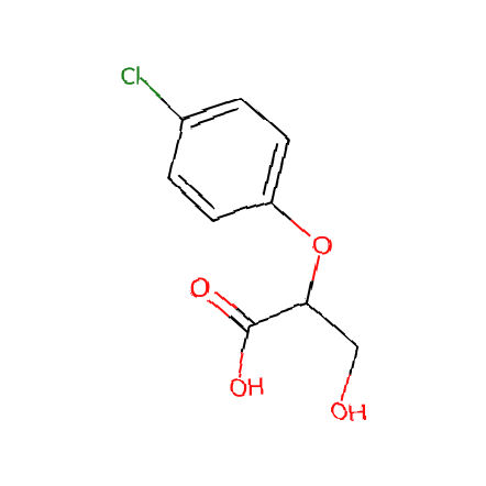 O=C(O)C(CO)Oc1ccc(Cl)cc1